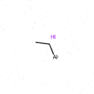 C[CH2][Al].I